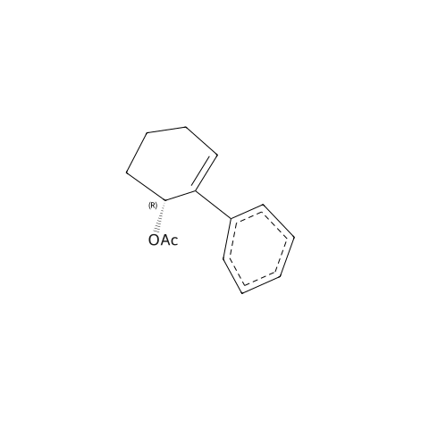 CC(=O)O[C@@H]1CCCC=C1c1ccccc1